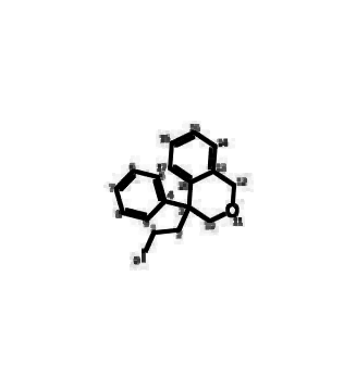 ICCC1(c2ccccc2)COCc2ccccc21